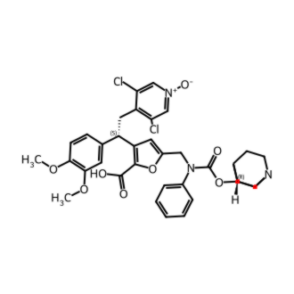 COc1ccc([C@H](Cc2c(Cl)c[n+]([O-])cc2Cl)c2cc(CN(C(=O)O[C@H]3CN4CCC3CC4)c3ccccc3)oc2C(=O)O)cc1OC